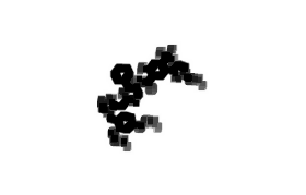 COc1ccc(Cn2cnnc2Cc2ncc(NC(=O)c3cc(-c4ccn(C)n4)c(C(F)(F)F)cc3F)c(-c3ccccc3)n2)c(OC)c1